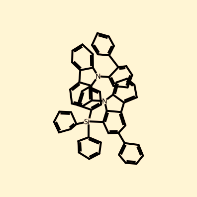 c1ccc(-c2cc([Si](c3ccccc3)(c3ccccc3)c3ccccc3)c3c(c2)c2ccccc2n3-c2cccc3c4ccccc4n(-c4ccccc4-c4ccccc4)c23)cc1